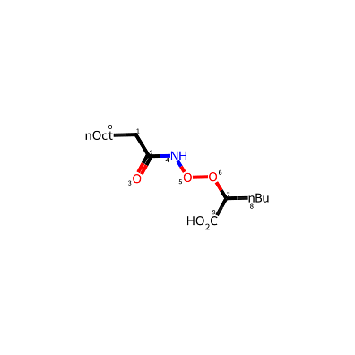 CCCCCCCCCC(=O)NOOC(CCCC)C(=O)O